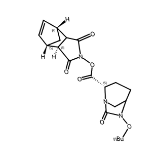 CCCCON1C(=O)N2CC1CC[C@H]2C(=O)ON1C(=O)C2[C@@H](C1=O)[C@@H]1C=C[C@H]2C1